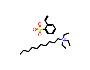 C=Cc1ccccc1S(=O)(=O)[O-].CCCCCCCCCC[N+](CC)(CC)CC